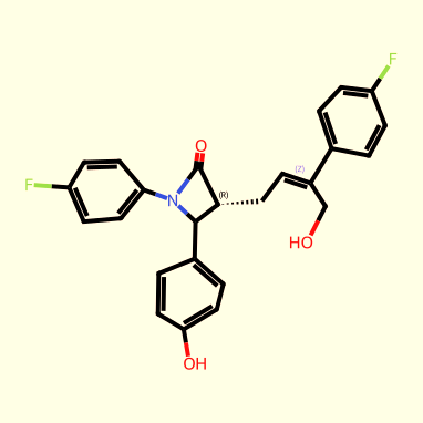 O=C1[C@H](C/C=C(\CO)c2ccc(F)cc2)C(c2ccc(O)cc2)N1c1ccc(F)cc1